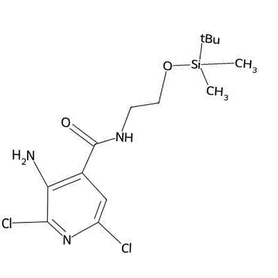 CC(C)(C)[Si](C)(C)OCCNC(=O)c1cc(Cl)nc(Cl)c1N